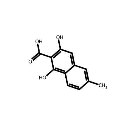 Cc1ccc2c(O)c(C(=O)O)c(O)cc2c1